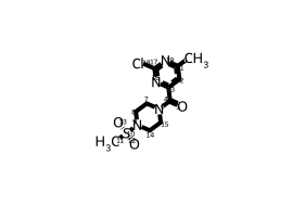 Cc1cc(C(=O)N2CCN(S(C)(=O)=O)CC2)nc(Cl)n1